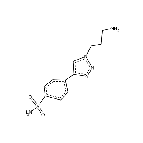 NCCCn1cc(-c2ccc(S(N)(=O)=O)cc2)nn1